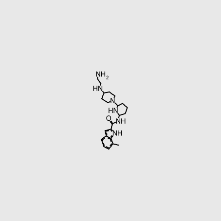 Cc1cccc2cc(C(=O)NC3CCCC(N4CCC(NCCN)CC4)N3)[nH]c12